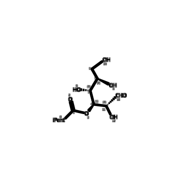 CCCC(C)C(=O)O[C@@H]([C@H](O)[C@H](O)CO)[C@@H](O)C=O